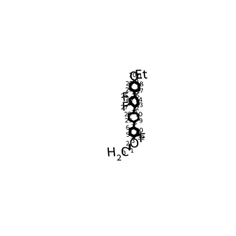 C=CCOc1ccc(C2CCC(c3ccc(-c4ccc(OCC)cc4)c(F)c3F)CC2)cc1F